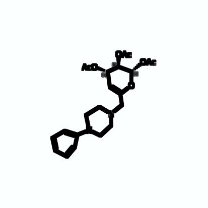 CC(=O)O[C@@H]1OC(CN2CCN(c3ccccc3)CC2)=C[C@H](OC(C)=O)[C@H]1OC(C)=O